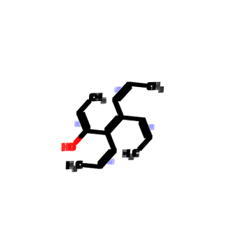 C/C=C\C(/C=C\C)=C(/C=C\C)C(/O)=C\C